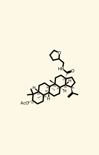 C=C(C)[C@@H]1CC[C@]2(C(=O)NCC3CCCO3)CC[C@]3(C)[C@H](CC[C@@H]4[C@@]5(C)CC[C@H](OC(C)=O)C(C)(C)[C@@H]5CC[C@]43C)[C@@H]12